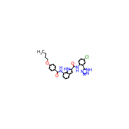 CCCCOc1ccc(C(=O)Nc2cccc3cc(C(=O)Nc4ccc(Cl)cc4-c4nnn[nH]4)[nH]c23)cc1